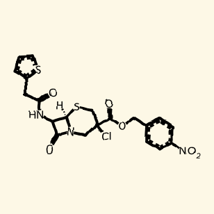 O=C(Cc1cccs1)NC1C(=O)N2CC(Cl)(C(=O)OCc3ccc([N+](=O)[O-])cc3)CS[C@H]12